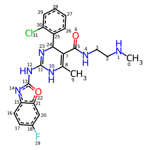 CNCCNC(=O)C1=C(C)NC(Nc2nc3ccc(F)cc3o2)=NC1c1ccccc1Cl